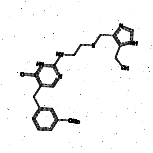 COc1cccc(Cc2cnc(NCCSCc3nc[nH]c3CO)[nH]c2=O)c1